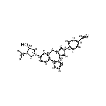 CN(C)[C@@H]1CN(c2ccc3c(c2)Cn2cc(-c4ccc(C#N)cc4)cc2-c2nccn2-3)C[C@@H]1O